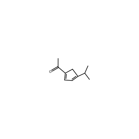 CC(=O)C1=CC=C(C(C)C)C1